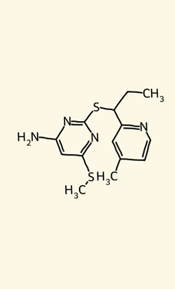 CCC(Sc1nc(N)cc(SC)n1)c1cc(C)ccn1